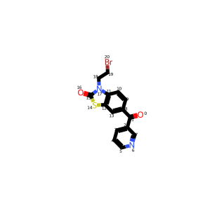 O=C(c1cccnc1)c1ccc2c(c1)sc(=O)n2CCBr